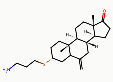 C=C1C[C@@H]2[C@H](CC[C@]3(C)C(=O)CC[C@@H]23)[C@@]2(C)CC[C@@H](SCCCN)CC12